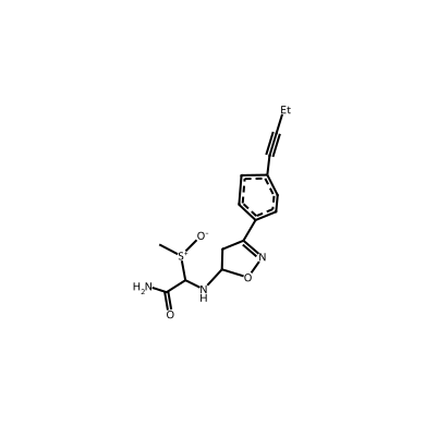 CCC#Cc1ccc(C2=NOC(NC(C(N)=O)[S+](C)[O-])C2)cc1